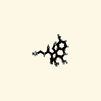 CCOC(=O)C(C#N)C1(CC)C(C(=O)O)=C(N)Oc2ccc(Br)cc21